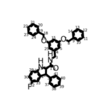 O=C(NCc1cc(OCc2ccccc2)cc(OCc2ccccc2)c1)C1Nc2ccc(F)cc2C1c1ccccc1